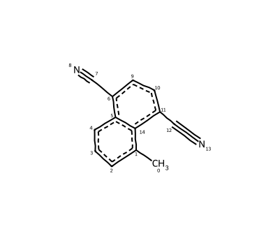 Cc1cccc2c(C#N)ccc(C#N)c12